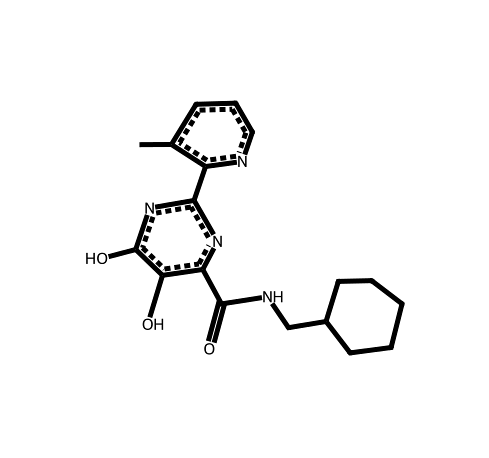 Cc1cccnc1-c1nc(O)c(O)c(C(=O)NCC2CCCCC2)n1